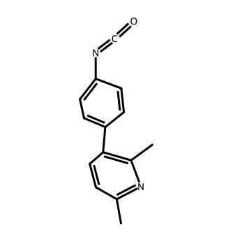 Cc1ccc(-c2ccc(N=C=O)cc2)c(C)n1